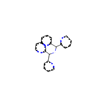 c1ccc(C(NC(c2ccccn2)c2ccccn2)c2ccccn2)nc1